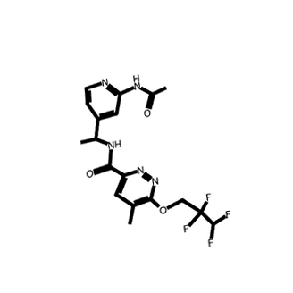 CC(=O)Nc1cc(C(C)NC(=O)c2cc(C)c(OCC(F)(F)C(F)F)nn2)ccn1